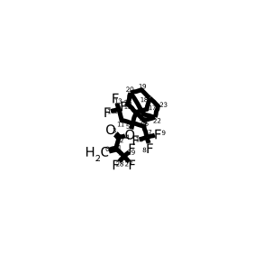 C=C(C(=O)OC(CC(F)(F)F)(CC(F)(F)F)C12CC3CC(CC(C3)C1)C2)C(F)(F)F